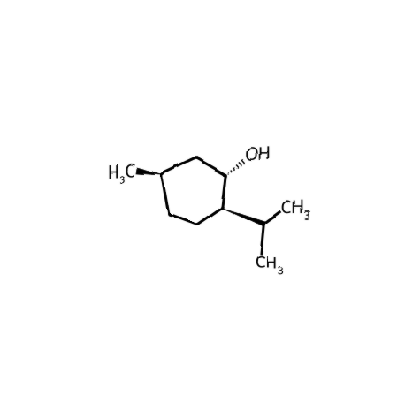 CC(C)[C@H]1CC[C@@H](C)C[C@@H]1O